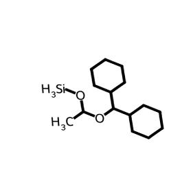 CC(O[SiH3])OC(C1CCCCC1)C1CCCCC1